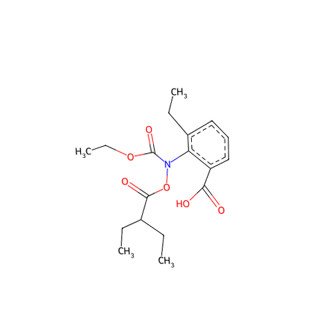 CCOC(=O)N(OC(=O)C(CC)CC)c1c(CC)cccc1C(=O)O